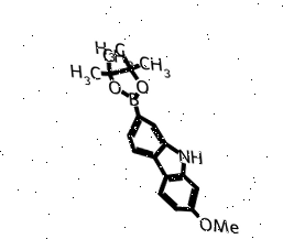 COc1ccc2c(c1)[nH]c1cc(B3OC(C)(C)C(C)(C)O3)ccc12